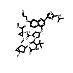 CC[C@@H]1C[C@]1(NC(=O)[C@@H]1C[C@@H](Oc2cc(-c3csc(NC(C)C)n3)nc3cc(OCC=O)ccc23)CN1C(=O)C(NC(=O)OC1CC2C[C@H]2C1)C(C)(C)C)C(=O)OC